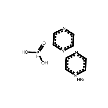 Br.O=[PH](O)O.c1cnccn1.c1cnccn1